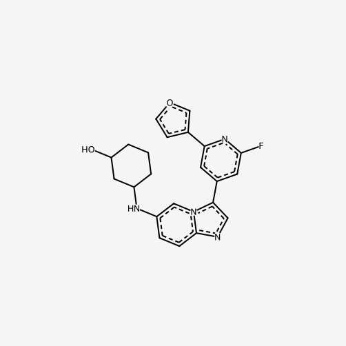 OC1CCCC(Nc2ccc3ncc(-c4cc(F)nc(-c5ccoc5)c4)n3c2)C1